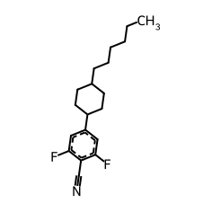 CCCCCCC1CCC(c2cc(F)c(C#N)c(F)c2)CC1